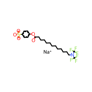 O=C(CCCCCCCCCCCCN(C(F)(F)F)C(F)(F)F)Oc1ccc(S(=O)(=O)[O-])cc1.[Na+]